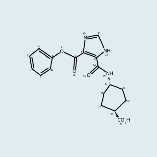 O=C(Oc1ccccc1)c1nc[nH]c1C(=O)N[C@H]1CC[C@H](C(=O)O)CC1